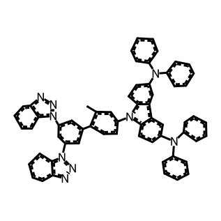 Cc1cc(-n2c3ccc(N(c4ccccc4)c4ccccc4)cc3c3cc(N(c4ccccc4)c4ccccc4)ccc32)ccc1-c1cc(-n2nnc3ccccc32)cc(-n2nnc3ccccc32)c1